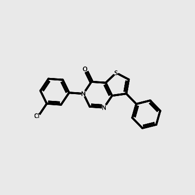 O=c1c2scc(-c3ccccc3)c2ncn1-c1cccc(Cl)c1